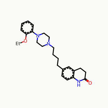 CCOc1ccccc1N1CCN(CCCCc2ccc3c(c2)CCC(=O)N3)CC1